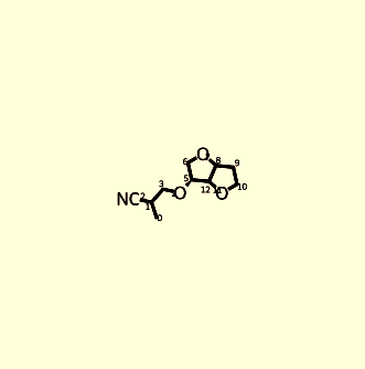 CC(C#N)CO[C@H]1COC2CCOC21